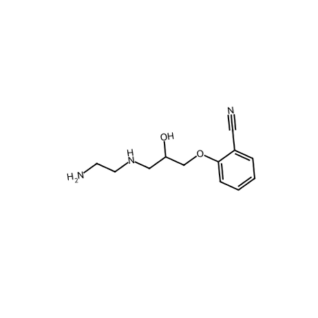 N#Cc1ccccc1OCC(O)CNCCN